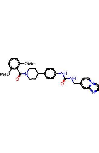 COc1cccc(OC)c1C(=O)N1CCC(c2ccc(NC(=O)NCc3ccn4ccnc4c3)cc2)CC1